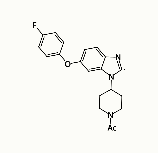 CC(=O)N1CCC(n2[c]nc3ccc(Oc4ccc(F)cc4)cc32)CC1